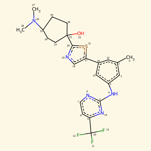 Cc1cc(Nc2nccc(C(F)(F)F)n2)cc(-c2cnc(C3(O)CCC(N(C)C)CC3)s2)c1